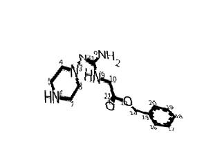 NC(=NN1CCNCC1)NCC(=O)OCc1ccccc1